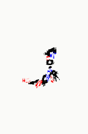 Cc1cccnc1O[C@H]1CC[C@@H](CCn2nc(C(=O)N3CCC(OCCO)CC3)c3c2C[C@H]2[C@@H](C)[C@@H]32)CC1